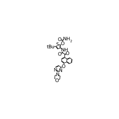 CC(C)(C)c1cc(NC(=O)C(=O)c2ccc(Oc3ccnc(N4CCOCC4)n3)c3ccccc23)c(OC(N)=O)s1